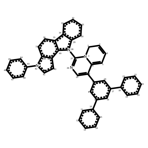 C1=CCN2C(=C1)C(c1cc(-c3ccccc3)cc(-c3ccccc3)c1)=CN=C2n1c2ccccc2c2ccc3c(ccn3-c3ccccc3)c21